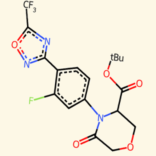 CC(C)(C)OC(=O)C1COCC(=O)N1c1ccc(-c2noc(C(F)(F)F)n2)c(F)c1